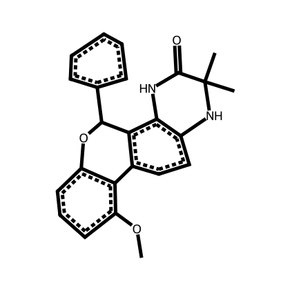 COc1cccc2c1-c1ccc3c(c1C(c1ccccc1)O2)NC(=O)C(C)(C)N3